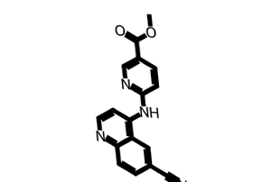 COC(=O)c1ccc(Nc2ccnc3ccc(C#N)cc23)nc1